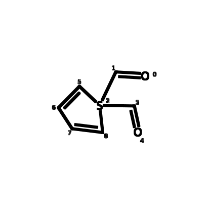 O=CS1(C=O)C=CC=C1